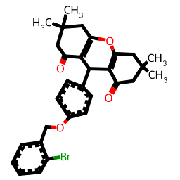 CC1(C)CC(=O)C2=C(C1)OC1=C(C(=O)CC(C)(C)C1)C2c1ccc(OCc2ccccc2Br)cc1